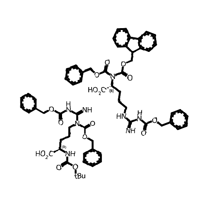 CC(C)(C)OC(=O)N[C@H](CCCN(C(=N)NC(=O)OCc1ccccc1)C(=O)OCc1ccccc1)C(=O)O.N=C(NCCC[C@H](C(=O)O)N(C(=O)OCc1ccccc1)C(=O)OCC1c2ccccc2-c2ccccc21)NC(=O)OCc1ccccc1